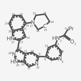 CC(C)C(=O)Nc1cncc(-c2cc3c(-c4cc5c(N6CCCCC6)cccc5[nH]4)n[nH]c3cn2)c1